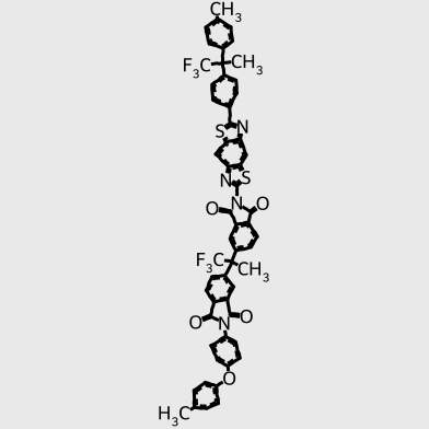 Cc1ccc(Oc2ccc(N3C(=O)c4ccc(C(C)(c5ccc6c(c5)C(=O)N(c5nc7cc8sc(-c9ccc(C(C)(c%10ccc(C)cc%10)C(F)(F)F)cc9)nc8cc7s5)C6=O)C(F)(F)F)cc4C3=O)cc2)cc1